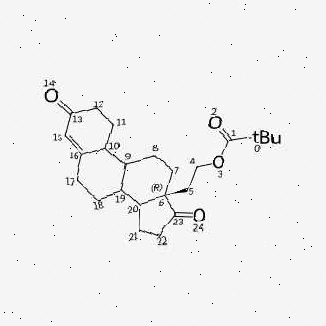 CC(C)(C)C(=O)OCC[C@]12CCC3C4CCC(=O)C=C4CCC3C1CCC2=O